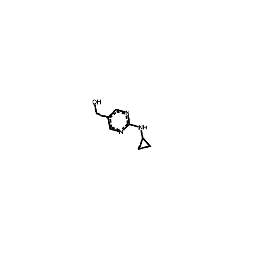 OCc1cnc(NC2CC2)nc1